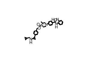 CC1CN(c2ccc(C(=O)Nc3ccccc3N)cc2)CCN1C(=O)OCc1ccc(C2CC2NCC2CC2)cc1